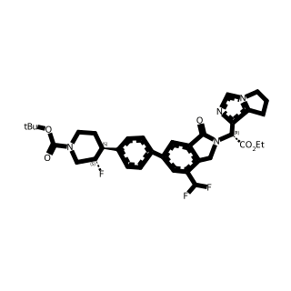 CCOC(=O)[C@@H](c1ncn2c1CCC2)N1Cc2c(cc(-c3ccc([C@@H]4CCN(C(=O)OC(C)(C)C)C[C@H]4F)cc3)cc2C(F)F)C1=O